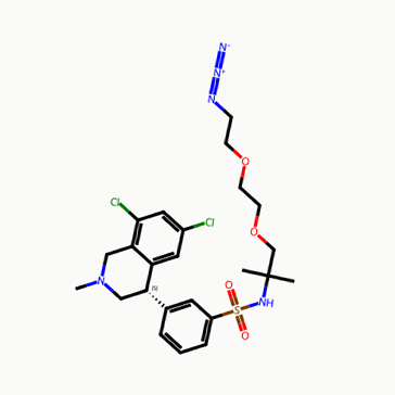 CN1Cc2c(Cl)cc(Cl)cc2[C@H](c2cccc(S(=O)(=O)NC(C)(C)COCCOCCN=[N+]=[N-])c2)C1